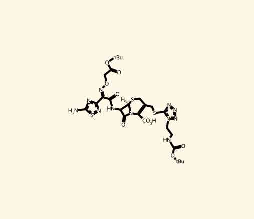 CCCCOC(=O)CO/N=C(\C(=O)NC1C(=O)N2C(C(=O)O)=C(CSc3nnnn3CCNC(=O)OC(C)(C)C)CS[C@H]12)c1nsc(N)n1